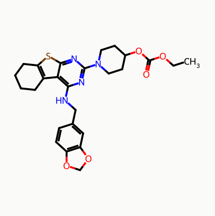 CCOC(=O)OC1CCN(c2nc(NCc3ccc4c(c3)OCO4)c3c4c(sc3n2)CCCC4)CC1